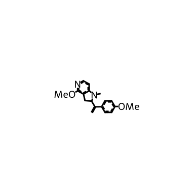 C=C(c1ccc(OC)cc1)C1Cc2c(ccnc2OC)N1C